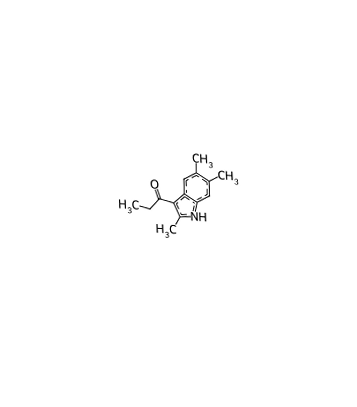 CCC(=O)c1c(C)[nH]c2cc(C)c(C)cc12